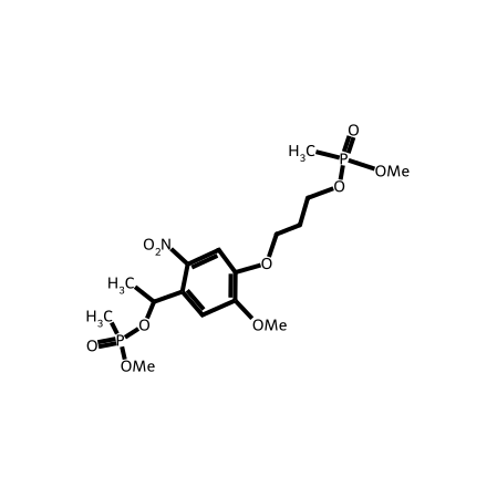 COc1cc(C(C)OP(C)(=O)OC)c([N+](=O)[O-])cc1OCCCOP(C)(=O)OC